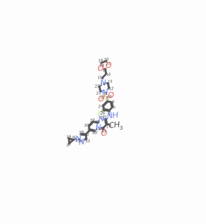 Cc1c(Nc2ccc(S(=O)(=O)N3CCN(CCC4OCCO4)CC3)cc2F)nc2ccc(-c3cnn(C4CC4)c3)cn2c1=O